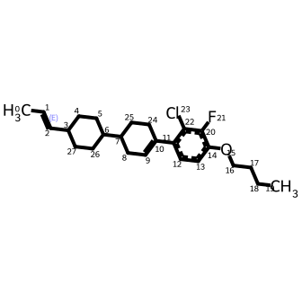 C/C=C/C1CCC(C2CC=C(c3ccc(OCCCC)c(F)c3Cl)CC2)CC1